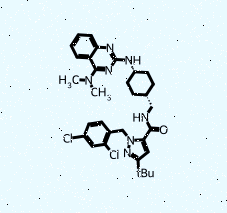 CN(C)c1nc(N[C@H]2CC[C@@H](CNC(=O)c3cc(C(C)(C)C)nn3Cc3ccc(Cl)cc3Cl)CC2)nc2ccccc12